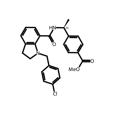 COC(=O)c1ccc([C@H](C)NC(=O)c2cccc3c2N(Cc2ccc(Cl)cc2)CC3)cc1